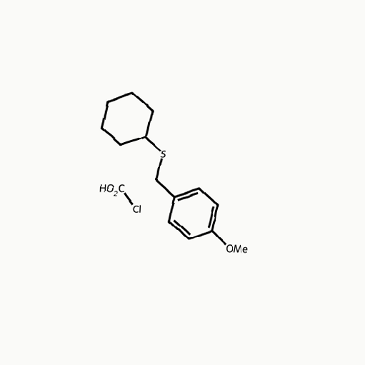 COc1ccc(CSC2CCCCC2)cc1.O=C(O)Cl